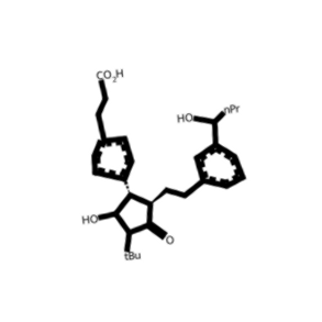 CCCC(O)c1cccc(CC[C@H]2C(=O)C(C(C)(C)C)C(O)[C@@H]2c2ccc(CCC(=O)O)cc2)c1